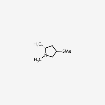 CSC1C[C@@H](C)N(C)C1